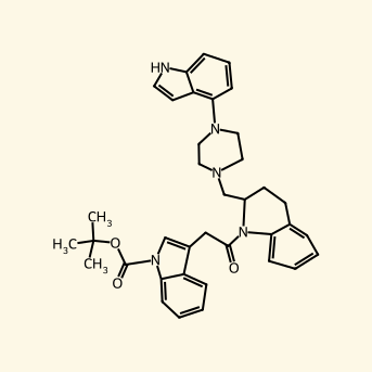 CC(C)(C)OC(=O)n1cc(CC(=O)N2c3ccccc3CCC2CN2CCN(c3cccc4[nH]ccc34)CC2)c2ccccc21